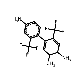 CC1C=C(c2ccc(N)cc2C(F)(F)F)C(C(F)(F)F)=CC1N